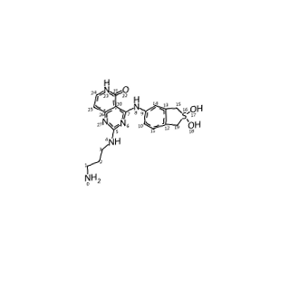 NCCCNc1nc(Nc2ccc3c(c2)CS(O)(O)C3)c2c(=O)[nH]ccc2n1